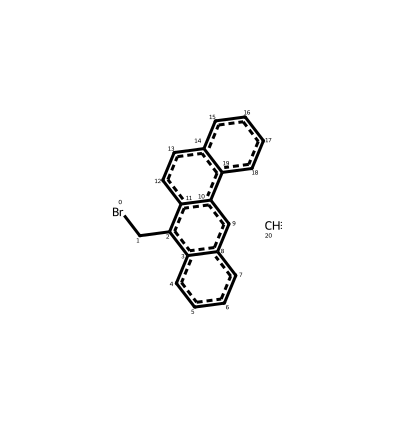 BrCc1c2ccccc2cc2c1ccc1ccccc12.[CH]